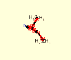 C=C(C)C(=O)OCCCCCCOC(=O)c1cc(OC(=O)c2ccc(OCCCCCCOC(=O)C(=C)C)cc2)ccc1OC(=O)c1ccc(C#N)cc1